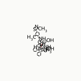 Cc1cc(-c2scnc2C)ccc1CNC(=O)[C@@H]1C[C@@H](O)CN1C(=O)[C@@H](NC(=O)O)C(C)(C)SC(c1ccccc1)(c1ccccc1)c1ccccc1